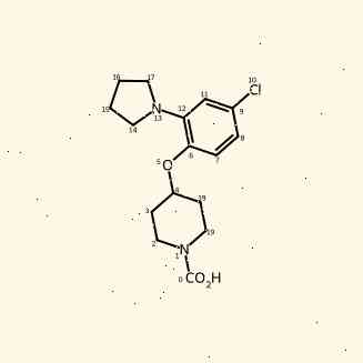 O=C(O)N1CCC(Oc2ccc(Cl)cc2N2CCCC2)CC1